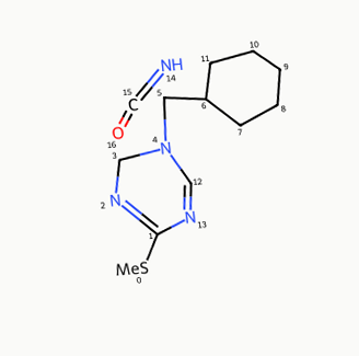 CSC1=NCN(CC2CCCCC2)C=N1.N=C=O